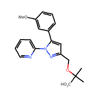 COc1cccc(-c2cc(COC(C)(C)C(=O)O)nn2-c2ccccn2)c1